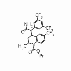 CC(C)OC(=O)N1c2ccc(C(F)(F)F)cc2C(C(C(N)=O)c2cc(C(F)(F)F)cc(C(F)(F)F)c2)CC1C